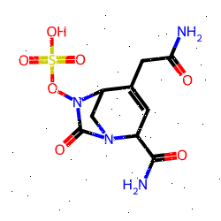 NC(=O)CC1=CC(C(N)=O)N2CC1N(OS(=O)(=O)O)C2=O